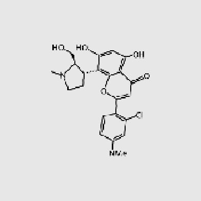 CNc1ccc(-c2cc(=O)c3c(O)cc(O)c([C@@H]4CCN(C)[C@H]4CO)c3o2)c(Cl)c1